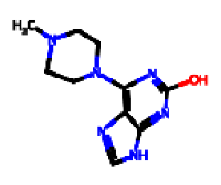 CN1CCN(c2nc(O)nc3[nH]cnc23)CC1